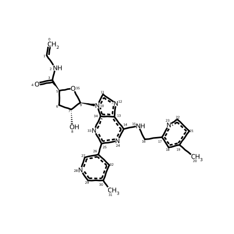 C=CNC(=O)[C@@H]1C[C@@H](O)[C@H](n2cnc3c(NCc4cc(C)ccn4)nc(-c4cncc(C)c4)nc32)O1